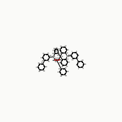 c1ccc(-c2cccc(N3c4ccccc4C4(c5ccccc53)c3ccccc3N(c3cccc(-c5ccccc5)c3)c3ccc(-c5ccccc5)cc34)c2)cc1